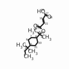 CCC(C)(C)C1CCC(C(C)(C)OC(=O)/C=C/C(=O)O)CC1